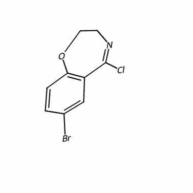 ClC1=NCCOc2ccc(Br)cc21